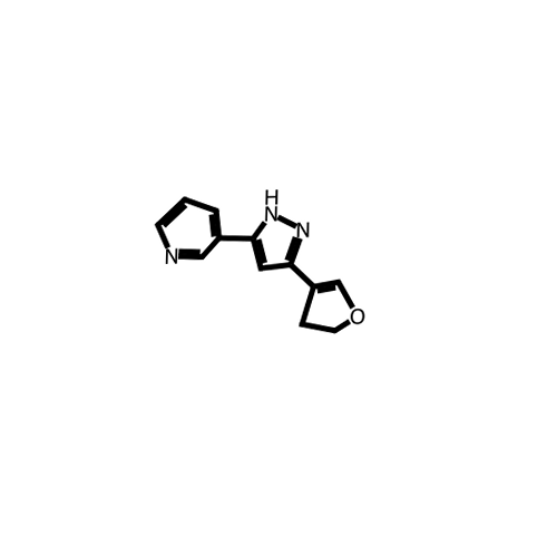 C1=C(c2cc(-c3cccnc3)[nH]n2)CCO1